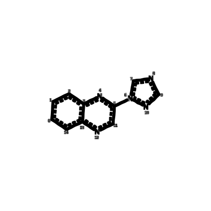 c1ccc2nc(-n3cncn3)cnc2c1